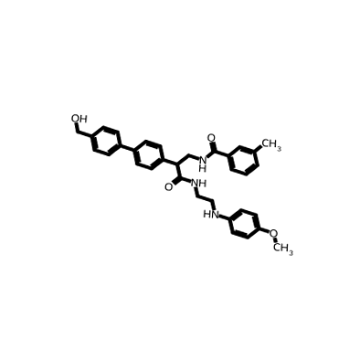 COc1ccc(NCCNC(=O)C(CNC(=O)c2cccc(C)c2)c2ccc(-c3ccc(CO)cc3)cc2)cc1